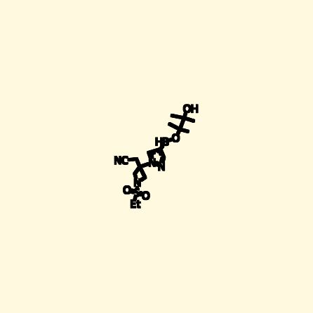 CCS(=O)(=O)N1CC(CC#N)(n2cc(BOC(C)(C)C(C)(C)O)cn2)C1